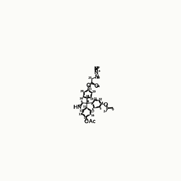 C=C(C)Oc1ccc(C(C=N)(c2ccc(OC(C)=O)cc2)c2ccc(OC(=O)CN=[N+]=[N-])cc2)cc1